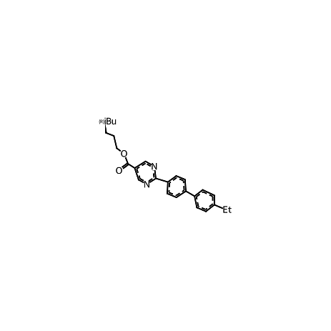 CCc1ccc(-c2ccc(-c3ncc(C(=O)OCCC[C@H](C)CC)cn3)cc2)cc1